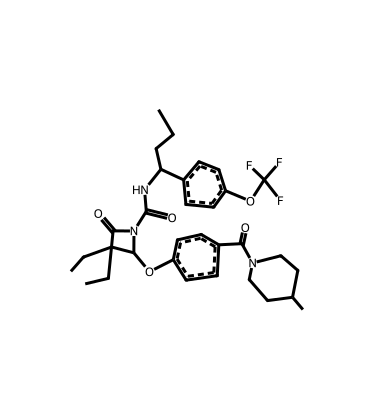 CCCC(NC(=O)N1C(=O)C(CC)(CC)C1Oc1ccc(C(=O)N2CCC(C)CC2)cc1)c1ccc(OC(F)(F)F)cc1